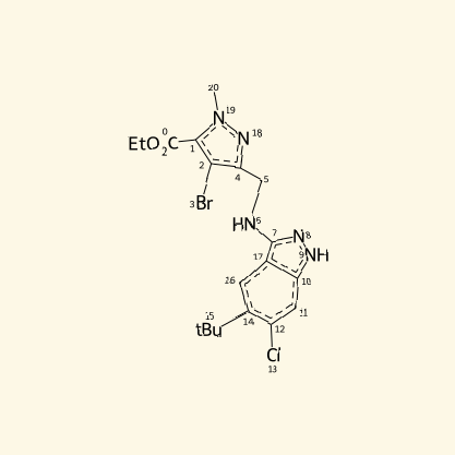 CCOC(=O)c1c(Br)c(CNc2n[nH]c3cc(Cl)c(C(C)(C)C)cc23)nn1C